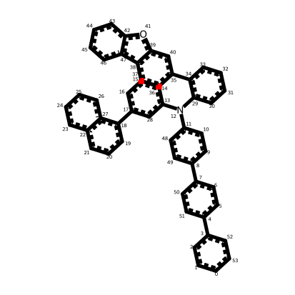 c1ccc(-c2ccc(-c3ccc(N(c4cccc(-c5cccc6ccccc56)c4)c4ccccc4-c4ccc5c(c4)oc4ccccc45)cc3)cc2)cc1